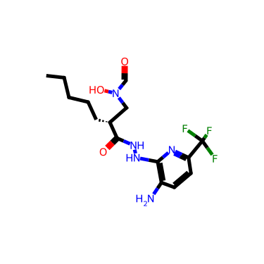 CCCCC[C@H](CN(O)C=O)C(=O)NNc1nc(C(F)(F)F)ccc1N